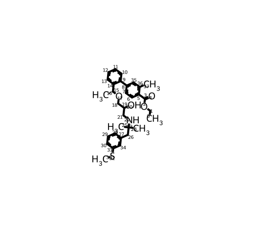 CCOC(=O)c1ccc(-c2ccccc2[C@@H](C)OCC(O)CNC(C)(C)Cc2cccc(SC)c2)cc1C